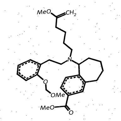 C=C(CCCCN(CCc1ccccc1OCOC)C1CCCCc2cc(C(=O)OC)ccc21)OC